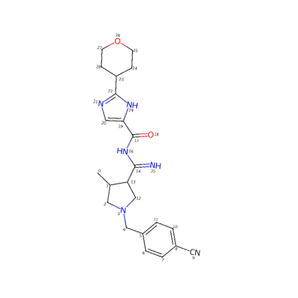 CC1CN(Cc2ccc(C#N)cc2)CC1C(=N)NC(=O)c1cnc(C2CCOCC2)[nH]1